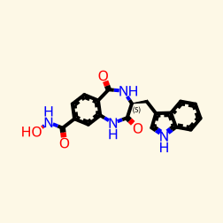 O=C(NO)c1ccc2c(c1)NC(=O)[C@H](Cc1c[nH]c3ccccc13)NC2=O